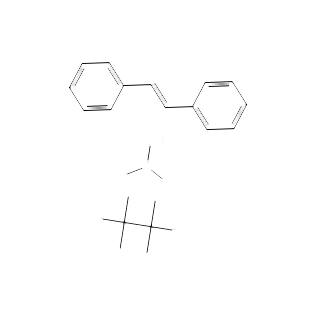 C(=Cc1ccccc1)c1ccccc1.CC(C)(O)C(C)(C)O.OB(O)O